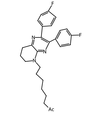 CC(=O)CCCCCCN1CCCc2nc(-c3ccc(F)cc3)c(-c3ccc(F)cc3)nc21